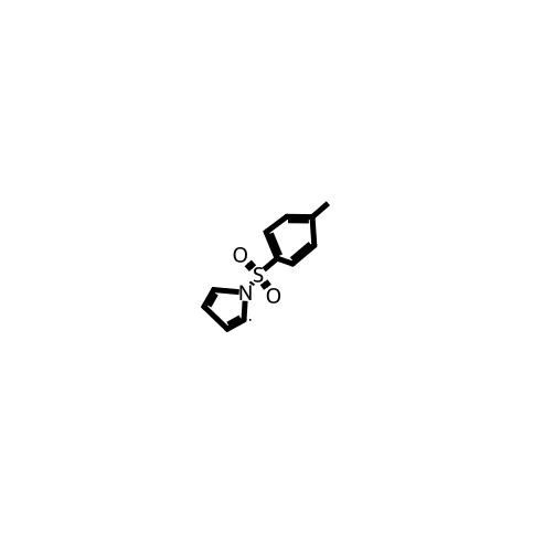 Cc1ccc(S(=O)(=O)n2[c]ccc2)cc1